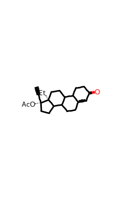 C#C[C@]1(OC(C)=O)CCC2C3CCC4=CC(=O)CCC4C3CC[C@@]21CC